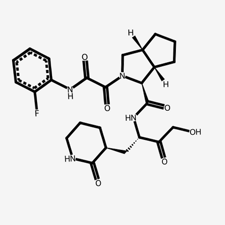 O=C(Nc1ccccc1F)C(=O)N1C[C@@H]2CCC[C@@H]2[C@H]1C(=O)N[C@@H](C[C@@H]1CCCNC1=O)C(=O)CO